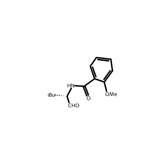 CCC(C)[C@@H]([C]=O)NC(=O)c1ccccc1OC